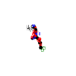 Cc1nccc(-c2ccc(CC(NC(=O)[C@@H]3Cc4cc5c(cc4CN3C(=O)c3ncco3)O[C@@H](c3ccc(OCc4ccc(Cl)c(Cl)c4)cc3)CO5)C(=O)O)cc2)c1C